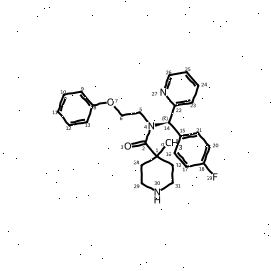 CC1(C(=O)N(CCOc2ccccc2)[C@H](c2ccc(F)cc2)c2ccccn2)CCNCC1